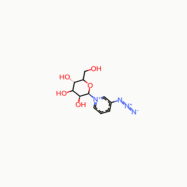 [N-]=[N+]=Nc1ccc[n+]([C@@H]2OC(CO)[C@@H](O)C(O)[C@@H]2O)c1